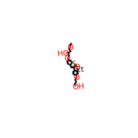 C=COCCC(O)COC1=CC2SC(=O)C(c3ccc(OCCCO)cc3CC)=CC2C=C1